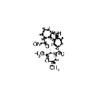 C[C@@H]1CN(C(=O)c2ccc3[nH]c4cccc(C(=O)N=O)c4c3c2)C[C@H](C)O1